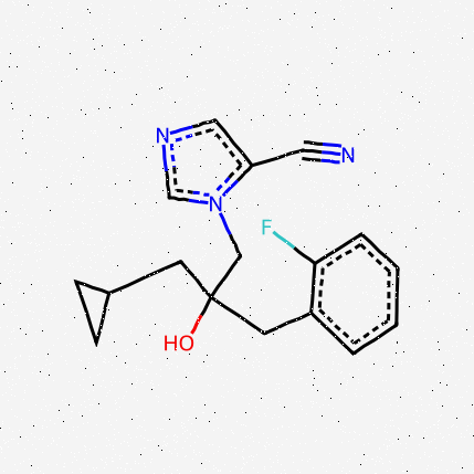 N#Cc1cncn1CC(O)(Cc1ccccc1F)CC1CC1